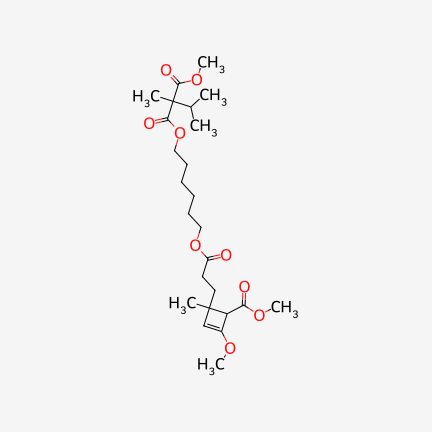 COC(=O)C1C(OC)=CC1(C)CCC(=O)OCCCCCCOC(=O)C(C)(C(=O)OC)C(C)C